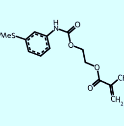 C=C(C)C(=O)OCCOC(=O)Nc1cccc(SC)c1